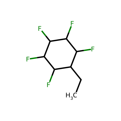 CCC1C(F)C(F)C(F)C(F)C1F